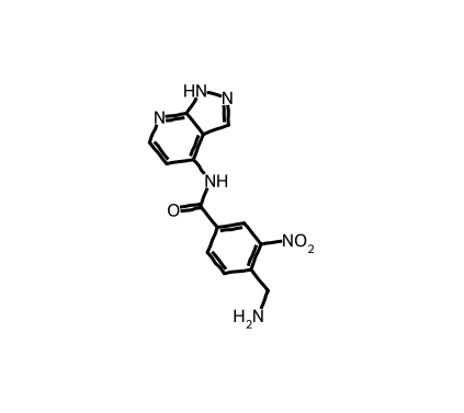 NCc1ccc(C(=O)Nc2ccnc3[nH]ncc23)cc1[N+](=O)[O-]